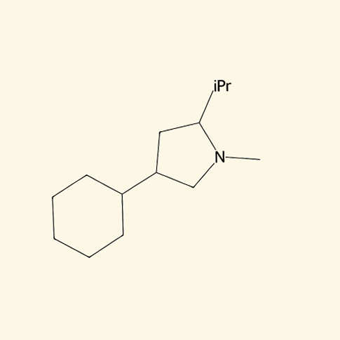 CC(C)C1CC(C2CCCCC2)CN1C